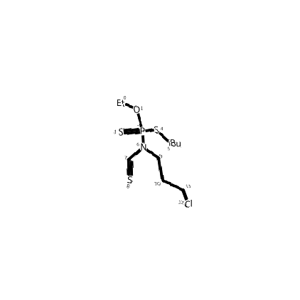 CCOP(=S)(SC(C)CC)N(C=S)CCCCl